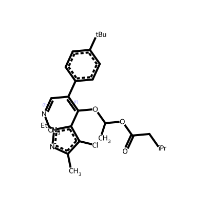 CCn1nc(C)c(Cl)c1/C(OC(C)OC(=O)CC(C)C)=C(\C=N/C)c1ccc(C(C)(C)C)cc1